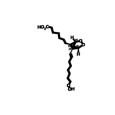 O=C(O)CCCCCC[C@@H]1[C@@H](C=CCCCCCCOO)[C@@H]2C[C@H]1OO2